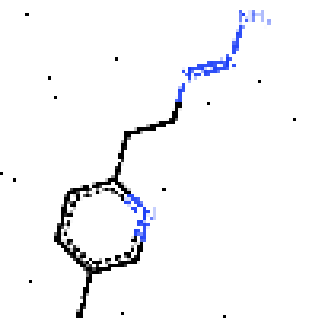 Cc1ccc(CCN=NN)nc1